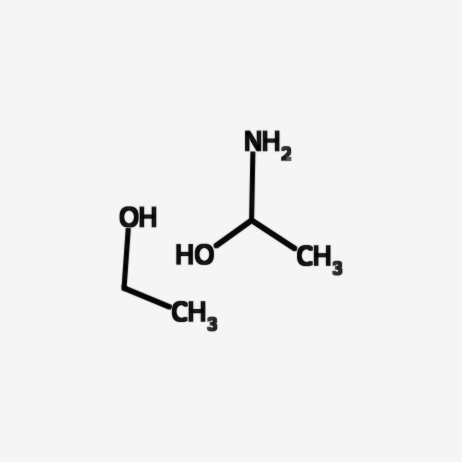 CC(N)O.CCO